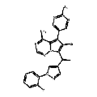 CC(c1cnn(-c2ccccc2F)c1)c1c(Br)c(-c2cnc(C(F)(F)F)nc2)c2c(N)ncnn12